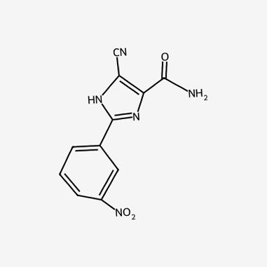 N#Cc1[nH]c(-c2cccc([N+](=O)[O-])c2)nc1C(N)=O